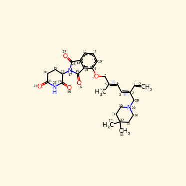 C=C/C(=C\C=C(/C)COc1cccc2c1C(=O)N(C1CCC(=O)NC1=O)C2=O)CN1CCC(C)(C)CC1